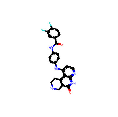 O=C(Nc1ccc(Nc2ccnc3[nH]c(=O)c4c(c23)CCNC4)cc1)c1ccc(F)c(F)c1